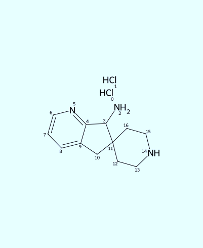 Cl.Cl.NC1c2ncccc2CC12CCNCC2